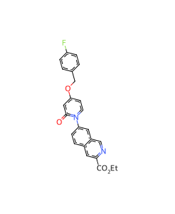 CCOC(=O)c1cc2ccc(-n3ccc(OCc4ccc(F)cc4)cc3=O)cc2cn1